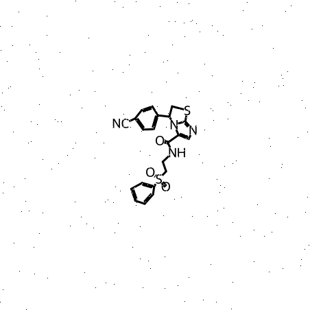 N#Cc1ccc(C2CSc3ncc(C(=O)NCCS(=O)(=O)c4ccccc4)n32)cc1